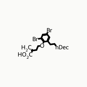 C=C(CCOc1c(Br)cc(Br)cc1CCCCCCCCCCCC)C(=O)O